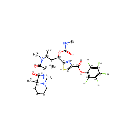 CCNC(=O)O[C@H](C[C@H](C(C)C)N(C)C(=O)[C@@H](NC(=O)[C@@]1(C)CCCCN1C)[C@@H](C)CC)c1nc(C(=O)Oc2c(F)c(F)c(F)c(F)c2F)cs1